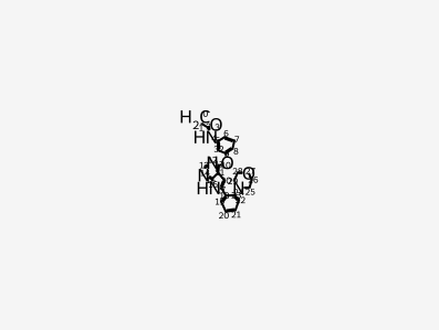 C=CC(=O)Nc1cccc(Oc2ncnc3[nH]c(-c4ccccc4N4CCOCC4)cc23)c1